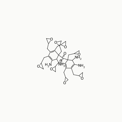 NC1=C(CC2CO2)C(CC2CO2)=C(CC2CO2)C(CC2CO2)(S(=O)(=O)C2(CC3CO3)C(CC3CO3)=C(CC3CO3)C(CC3CO3)=C(N)C2N)C1N